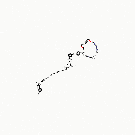 CO[C@H]1C[C@@H]2CC[C@@H](C)[C@@](O)(O2)C(=O)C(=O)N2CCCC[C@H]2C(=O)O[C@H]([C@H](N)C[C@@H]2CC[C@@H](OCc3cccc(-c4cnc(N5CCN(CC6=CN(CCOCCOCCOCCOCCC(=O)NCCCCn7nc(-c8ccc9oc(N)nc9c8)c8c(N)ncnc87)NN6)C(CO)C5)nc4)c3)[C@H](OC)C2)CC(=O)[C@H](C)/C=C(\C)[C@@H](O)[C@@H](OC)C(=O)[C@H](C)C[C@H](C)/C=C/C=C/C=C/1C